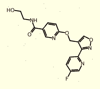 O=C(NCCO)c1ccc(OCc2conc2-c2ccc(F)cn2)nc1